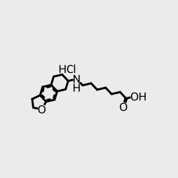 Cl.O=C(O)CCCCCCNC1CCc2cc3c(cc2C1)OCC3